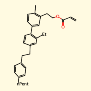 C=CC(=O)OCCc1cc(-c2ccc(CCc3ccc(CCCCC)cc3)cc2CC)ccc1C